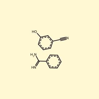 N#Cc1cccc(O)c1.N=C(N)c1ccccc1